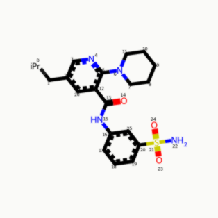 CC(C)Cc1cnc(N2CCCCC2)c(C(=O)Nc2cccc(S(N)(=O)=O)c2)c1